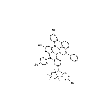 CC1(C)CC2(C)c3cc(C(C)(C)C)ccc3N(c3ccc4c(c3)N(c3ccc(C(C)(C)C)cc3)c3cc(C(C)(C)C)cc5c3B4c3cc(-c4ccccc4)ccc3N5c3ccc(C(C)(C)C)cc3-c3ccccc3)C2(C)C1